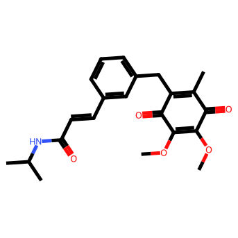 COC1=C(OC)C(=O)C(Cc2cccc(/C=C/C(=O)NC(C)C)c2)=C(C)C1=O